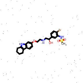 CS(=O)(=O)Nc1cc([C@@H](O)CNCCOc2ccc3c4c([nH]c3c2)CCCC4)ccc1Br